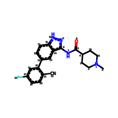 CN1CCC(C(=O)Nc2n[nH]c3ccc(-c4cc(F)ccc4C#N)cc23)CC1